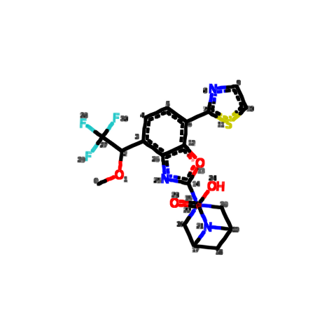 COC(c1ccc(-c2nccs2)c2oc(N3CC4CC(C3)N4C(=O)O)nc12)C(F)(F)F